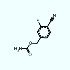 N#Cc1ccc(COC(N)=O)cc1F